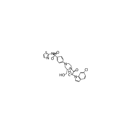 CC(C(=O)N1CCN(c2ccc(S(=O)(=O)Nc3nccs3)cc2)CC1CO)n1ccc2ccc(Cl)cc21